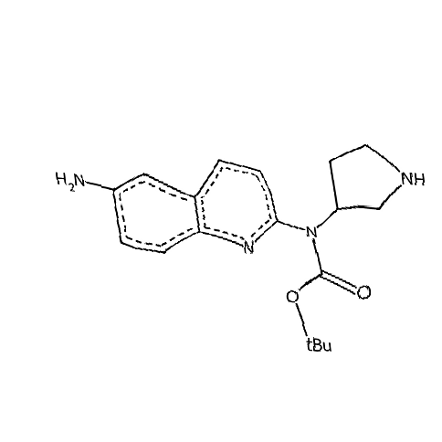 CC(C)(C)OC(=O)N(c1ccc2cc(N)ccc2n1)C1CCNC1